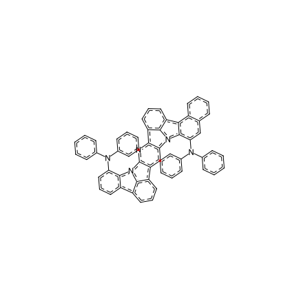 c1ccc(N(c2ccccc2)c2cc3ccccc3c3c4cccc5c6nc7c(cc6n(c23)c54)c2cccc3c4cccc(N(c5ccccc5)c5ccccc5)c4n7c23)cc1